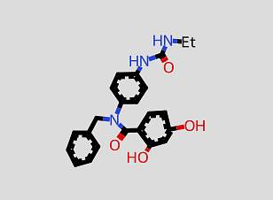 CCNC(=O)Nc1ccc(N(Cc2ccccc2)C(=O)c2ccc(O)cc2O)cc1